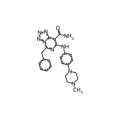 CN1CCN(c2ccc(Nc3nc(Cc4ccccc4)n4nnnc4c3C(N)=O)cc2)CC1